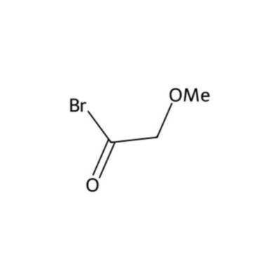 COCC(=O)Br